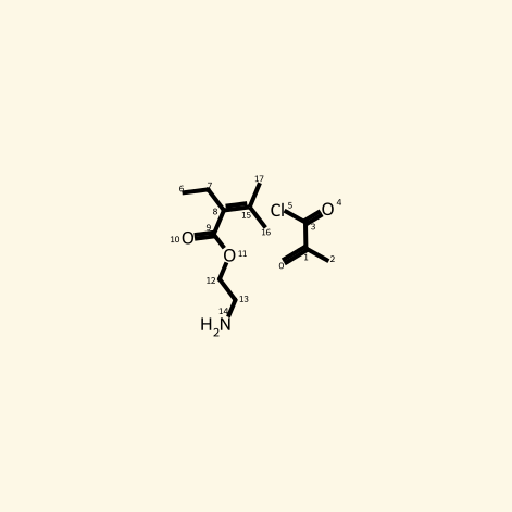 C=C(C)C(=O)Cl.CCC(C(=O)OCCN)=C(C)C